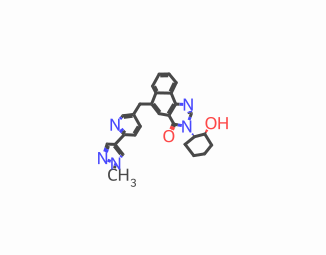 Cn1cc(-c2ccc(Cc3cc4c(=O)n([C@H]5CCCC[C@@H]5O)cnc4c4ccccc34)cn2)cn1